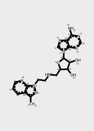 Cc1nn(CCNCC2OC(n3cnc4c(N)ncnc43)C(O)C2O)c2ncccc12